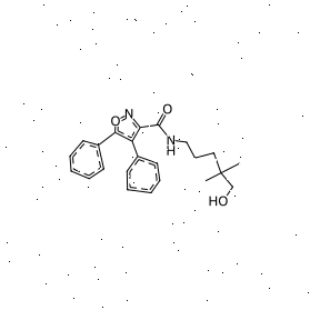 CC(C)(CO)CCCNC(=O)c1noc(-c2ccccc2)c1-c1ccccc1